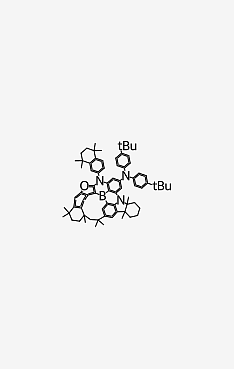 CC(C)(C)c1ccc(N(c2ccc(C(C)(C)C)cc2)c2cc3c4c(c2)N2c5c6cc(cc5C5(C)CCCCC25C)C(C)(C)CC2(C)CCC(C)(C)c5cc7oc(c(c7cc52)B64)N3c2ccc3c(c2)C(C)(C)CCC3(C)C)cc1